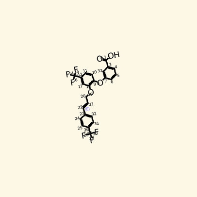 O=C(O)c1cccc(Oc2ccc(C(F)(F)F)cc2OC/C=C/c2ccc(C(F)(F)F)cc2)c1